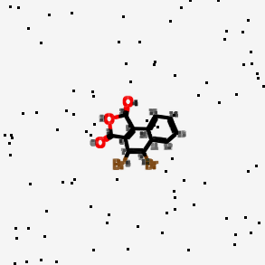 O=C1OC(=O)c2c1c(Br)c(Br)c1ccccc21